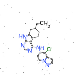 C=C[C@H]1CCc2c([nH]c3ncnc(Nc4ccn5nccc5c4Cl)c23)C1